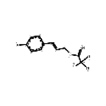 N=C(OCC=Cc1ccc(Br)cc1)C(Cl)(Cl)Cl